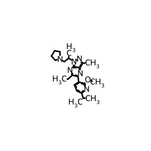 CCc1nc2c(nc1-c1ccc(C(C)C)nc1OC)c(C)nn2C(C)CN1CCCC1